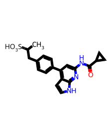 CC(Cc1ccc(-c2cc(NC(=O)C3CC3)nc3[nH]ccc23)cc1)S(=O)(=O)O